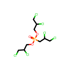 O=P(CC(Cl)CCl)(OCC(Cl)CCl)OCC(Cl)CCl